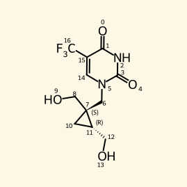 O=c1[nH]c(=O)n(C[C@]2(CO)C[C@H]2CO)cc1C(F)(F)F